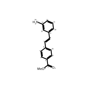 COC(=O)c1ccc(C=Cc2cccc(N)c2)cc1